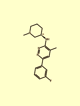 Cc1cc(-c2cccc(F)c2)nnc1N[C@@H]1CCCN(C)C1